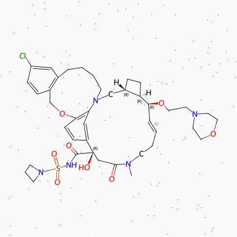 CN1CC/C=C/[C@H](OCCN2CCOCC2)[C@@H]2CC[C@H]2CN2CCCCc3cc(Cl)ccc3COc3ccc(cc32)[C@@](O)(C(=O)NS(=O)(=O)N2CCC2)CC1=O